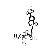 COC(=O)c1ccc2c(c1)CCN(CCCN(C)C(=O)OC(C)(C)C)C2=O